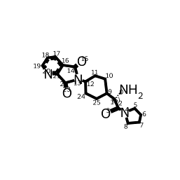 N[C@H](C(=O)N1CCCC1)C1CCC(N2C(=O)c3cccnc3C2=O)CC1